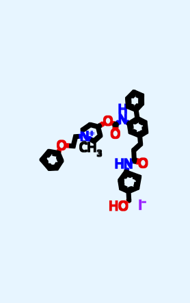 C[N+]1(CCOc2ccccc2)CCC(OC(=O)Nc2cc(CCC(=O)Nc3ccc(CO)cc3)ccc2-c2ccccc2)CC1.[I-]